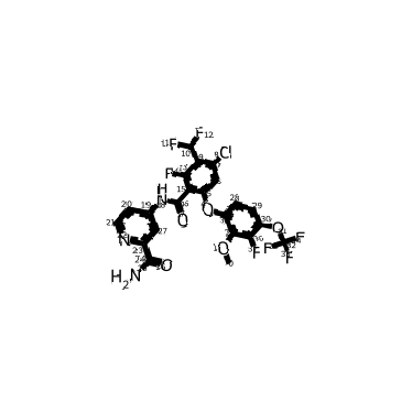 COc1c(Oc2cc(Cl)c(C(F)F)c(F)c2C(=O)Nc2ccnc(C(N)=O)c2)ccc(OC(F)(F)F)c1F